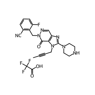 CC#CCn1c(N2CCNCC2)nc2cnn(Cc3c(F)cccc3C#N)c(=O)c21.O=C(O)C(F)(F)F